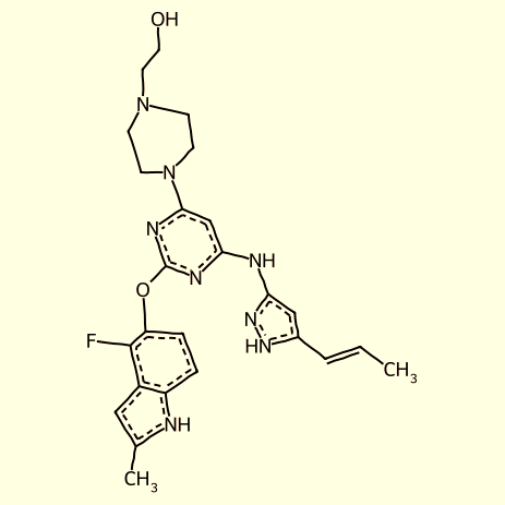 C/C=C/c1cc(Nc2cc(N3CCN(CCO)CC3)nc(Oc3ccc4[nH]c(C)cc4c3F)n2)n[nH]1